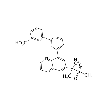 CC(C)(c1cc(-c2cccc(-c3cccc(C(=O)O)c3)c2)c2ncccc2c1)S(C)(=O)=O